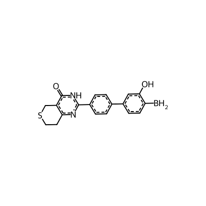 Bc1ccc(-c2ccc(-c3nc4c(c(=O)[nH]3)CSCC4)cc2)cc1O